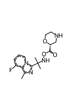 Cc1nc(C(C)(C)NOC(=O)[C@@H]2CNCCO2)n2cccc(F)c12